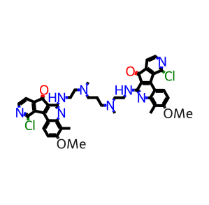 COc1ccc2c3c(c(NCCN(C)CCCN(C)CCNc4nc5c(C)c(OC)ccc5c5c4C(=O)c4ccnc(Cl)c4-5)nc2c1C)C(=O)c1ccnc(Cl)c1-3